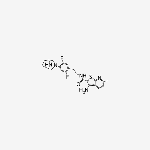 Cc1ccc2c(N)c(C(=O)NCCc3cc(F)c(N4CC5CCC(C4)N5)cc3F)sc2n1